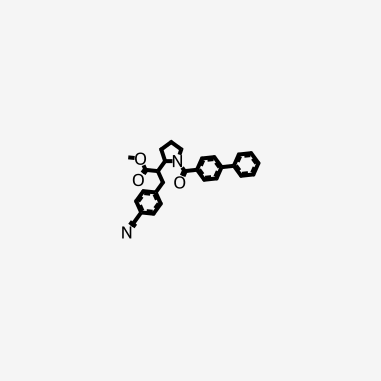 COC(=O)C(Cc1ccc(C#N)cc1)C1CCCN1C(=O)c1ccc(-c2ccccc2)cc1